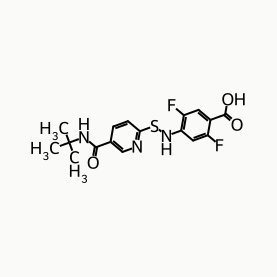 CC(C)(C)NC(=O)c1ccc(SNc2cc(F)c(C(=O)O)cc2F)nc1